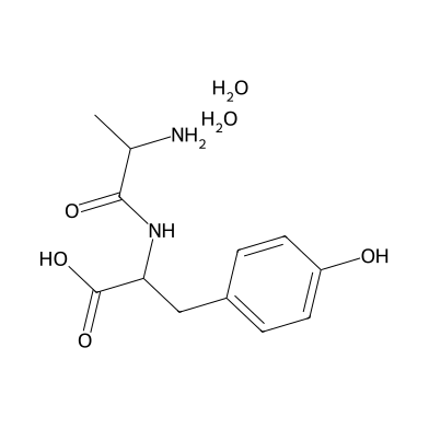 CC(N)C(=O)NC(Cc1ccc(O)cc1)C(=O)O.O.O